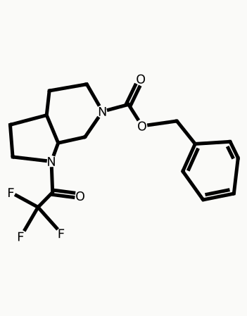 O=C(OCc1ccccc1)N1CCC2CCN(C(=O)C(F)(F)F)C2C1